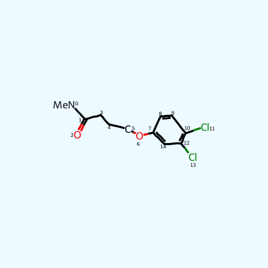 CNC(=O)CCCOc1ccc(Cl)c(Cl)c1